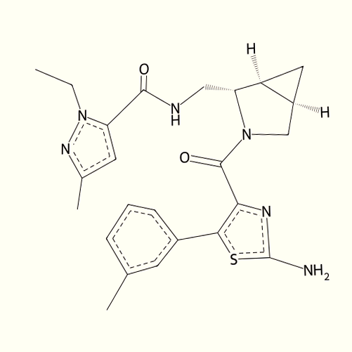 CCn1nc(C)cc1C(=O)NC[C@@H]1[C@H]2C[C@H]2CN1C(=O)c1nc(N)sc1-c1cccc(C)c1